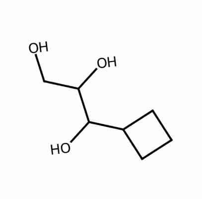 OCC(O)C(O)C1CCC1